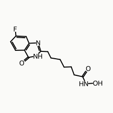 O=C(CCCCCCc1nc2cc(F)ccc2c(=O)[nH]1)NO